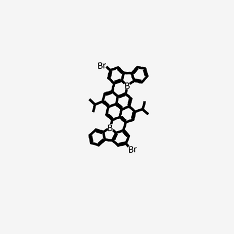 CC(C)c1cc2c3c(cc4c(C(C)C)cc5c6c(cc1c3c46)B1c3ccccc3-c3cc(Br)cc-5c31)B1c3ccccc3-c3cc(Br)cc-2c31